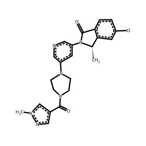 C[C@H]1c2cc(Cl)ccc2C(=O)N1c1cncc(N2CCN(C(=O)c3cnn(C)c3)CC2)c1